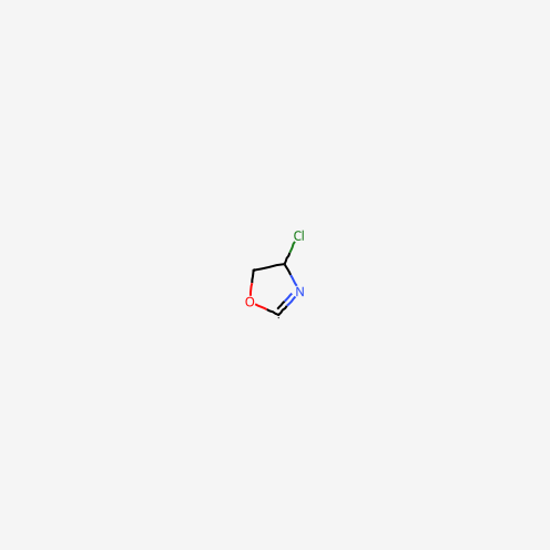 ClC1CO[C]=N1